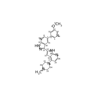 COc1cncc(-c2cnc3[nH]nc(-c4cc5c(N6CCN(C)CC6)ccnc5[nH]4)c3c2)c1